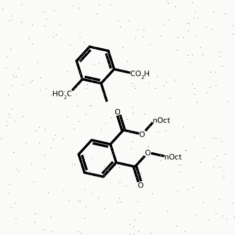 CCCCCCCCOC(=O)c1ccccc1C(=O)OCCCCCCCC.Cc1c(C(=O)O)cccc1C(=O)O